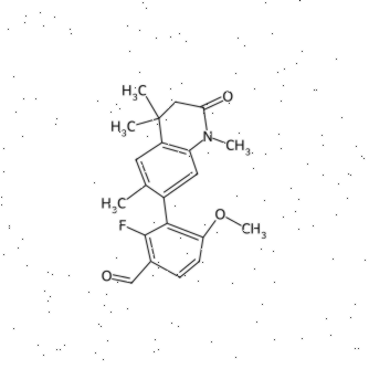 COc1ccc(C=O)c(F)c1-c1cc2c(cc1C)C(C)(C)CC(=O)N2C